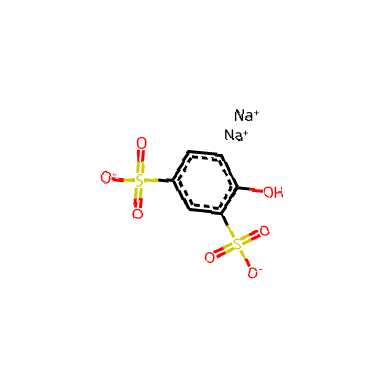 O=S(=O)([O-])c1ccc(O)c(S(=O)(=O)[O-])c1.[Na+].[Na+]